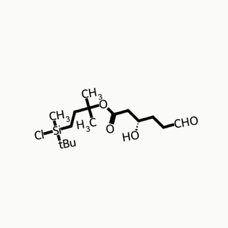 CC(C)(CC[Si](C)(Cl)C(C)(C)C)OC(=O)C[C@@H](O)CCC=O